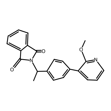 COc1ncccc1-c1ccc(C(C)N2C(=O)c3ccccc3C2=O)cc1